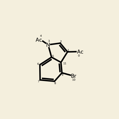 CC(=O)c1cn(C(C)=O)c2cccc(Br)c12